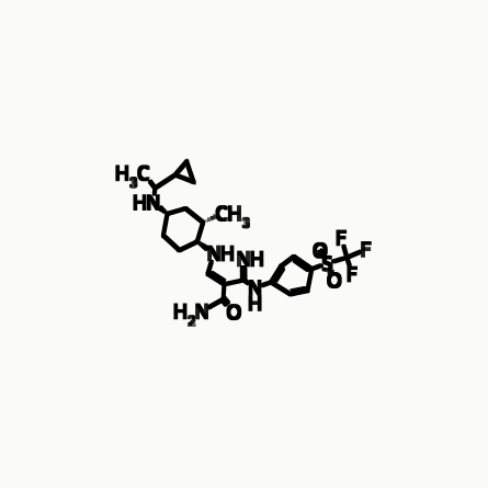 CC(N[C@@H]1CC[C@H](N/C=C(\C(=N)Nc2ccc(S(=O)(=O)C(F)(F)F)cc2)C(N)=O)[C@@H](C)C1)C1CC1